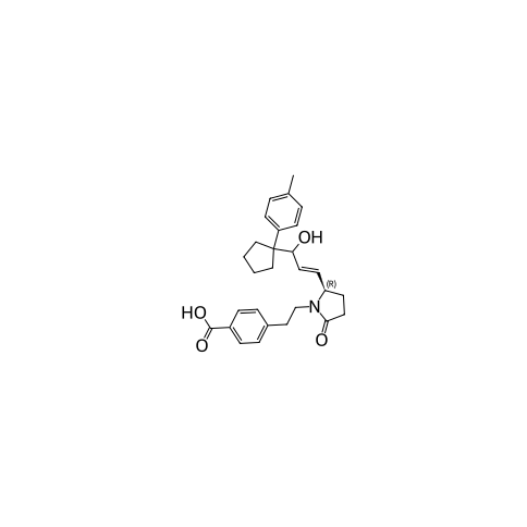 Cc1ccc(C2(C(O)C=C[C@H]3CCC(=O)N3CCc3ccc(C(=O)O)cc3)CCCC2)cc1